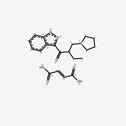 CCC(CN1CCCC1)C(=O)c1onc2ccccc12.O=C(O)/C=C/C(=O)O